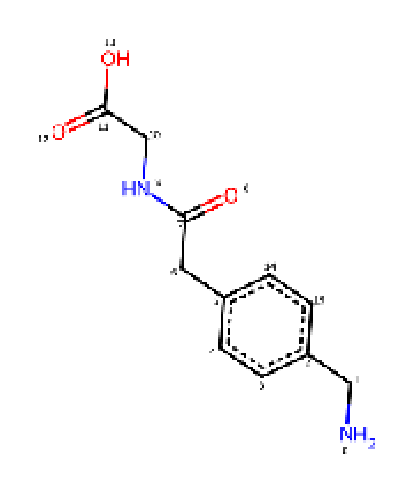 NCc1ccc(CC(=O)NCC(=O)O)cc1